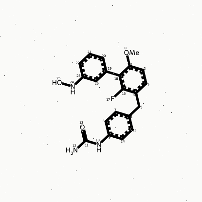 COc1ccc(Cc2ccc(NC(N)=O)cc2)c(F)c1-c1cccc(NO)c1